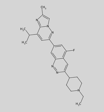 CCN1CCC(c2cc3c(F)cc(-c4cc(C(C)C)c5nc(C)cn5n4)cc3nn2)CC1